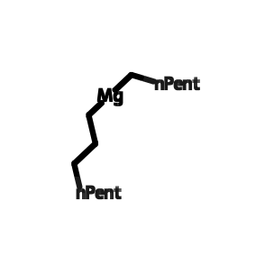 CCCCCCC[CH2][Mg][CH2]CCCCC